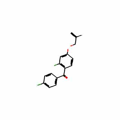 C=C(CC)COc1ccc(C(=O)c2ccc(Cl)cc2)c(F)c1